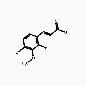 COc1c(Cl)ccc(/C=C/C(C)=O)c1F